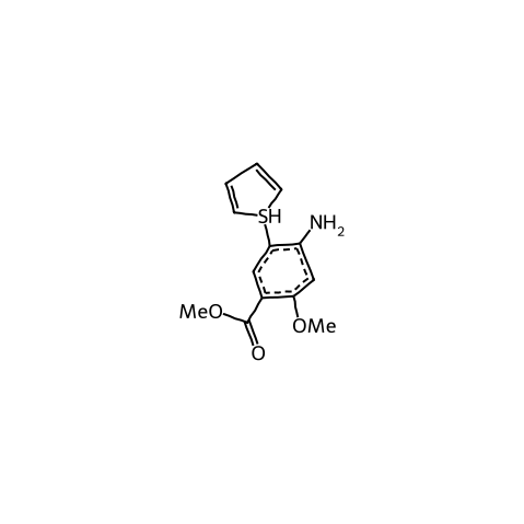 COC(=O)c1cc([SH]2C=CC=C2)c(N)cc1OC